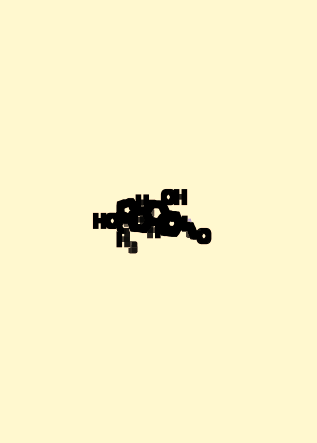 C[C@]12CC/C(=C\C=O)CC1C(O)C[C@@H]1[C@H]2CC[C@]2(C)C(O)CC[C@@H]12